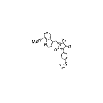 CNc1cccc2c(CN3C(=O)N(c4ccc(SC(F)(F)F)cc4)C(=O)C34CC4)ccnc12